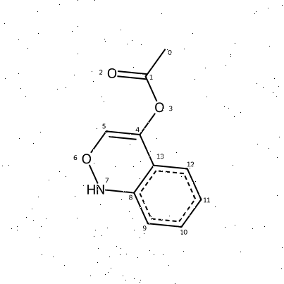 CC(=O)OC1=CONc2ccccc21